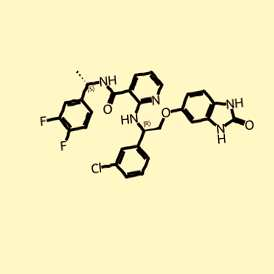 C[C@H](NC(=O)c1cccnc1N[C@@H](COc1ccc2[nH]c(=O)[nH]c2c1)c1cccc(Cl)c1)c1ccc(F)c(F)c1